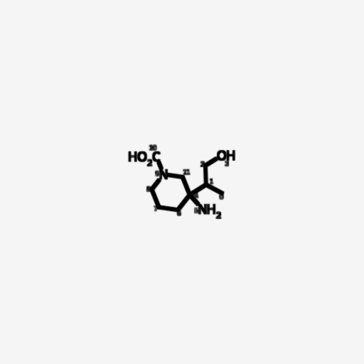 CC(CO)C1(N)CCCN(C(=O)O)C1